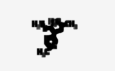 Cc1cnc(C(CC(C)C)[C@@H](C)SN)cn1